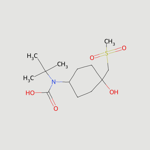 CC(C)(C)N(C(=O)O)C1CCC(O)(CS(C)(=O)=O)CC1